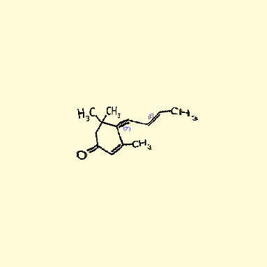 C/C=C/C=C1\C(C)=CC(=O)CC1(C)C